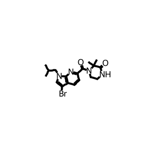 CC(C)Cn1cc(Br)c2ccc(C(=O)N3CCNC(=O)C3(C)C)nc21